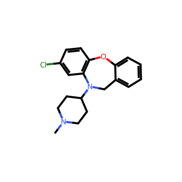 CN1CCC(N2Cc3ccccc3Oc3ccc(Cl)cc32)CC1